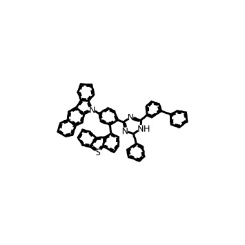 c1ccc(-c2cccc(C3=NC(c4ccc(-n5c6ccccc6c6cc7ccccc7cc65)cc4-c4cccc5sc6ccccc6c45)=NC(c4ccccc4)N3)c2)cc1